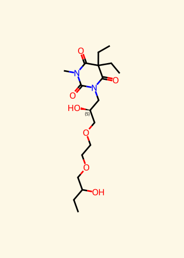 CCC(O)COCCOC[C@@H](O)CN1C(=O)N(C)C(=O)C(CC)(CC)C1=O